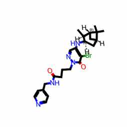 C[C@H]1[C@H]2C[C@H](C[C@H]1Nc1cnn(CCCC(=O)NCc3ccncc3)c(=O)c1Br)C2(C)C